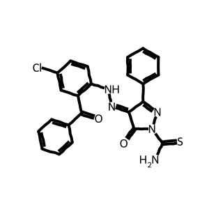 NC(=S)N1N=C(c2ccccc2)/C(=N\Nc2ccc(Cl)cc2C(=O)c2ccccc2)C1=O